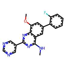 CNc1nc(-c2cncnc2)nc2c(OC)cc(-c3ccccc3F)cc12